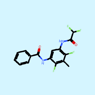 Cc1c(F)c(NC(=O)c2ccccc2)cc(NC(=O)C(F)F)c1F